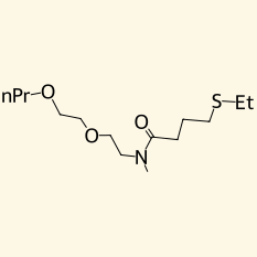 CCCOCCOCCN(C)C(=O)CCCSCC